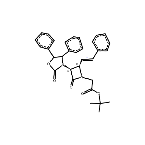 CC(C)(C)OC(=O)CN1C(=O)[C@@H](N2C(=O)OC(c3ccccc3)C2c2ccccc2)[C@H]1/C=C/c1ccccc1